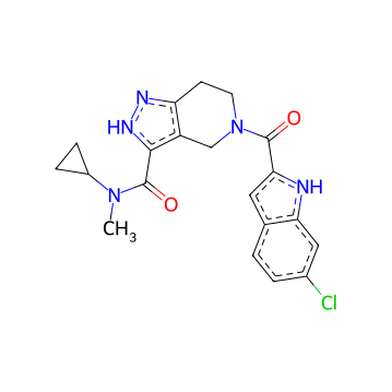 CN(C(=O)c1[nH]nc2c1CN(C(=O)c1cc3ccc(Cl)cc3[nH]1)CC2)C1CC1